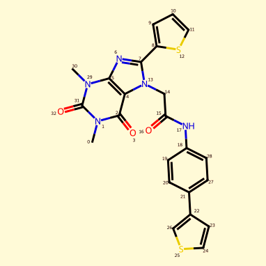 Cn1c(=O)c2c(nc(-c3cccs3)n2CC(=O)Nc2ccc(-c3ccsc3)cc2)n(C)c1=O